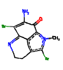 Cn1c(Br)c2c3c1C(=O)C(N)=C(Br)C3=NCC2